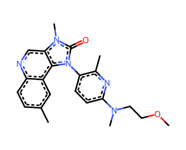 COCCN(C)c1ccc(-n2c(=O)n(C)c3cnc4ccc(C)cc4c32)c(C)n1